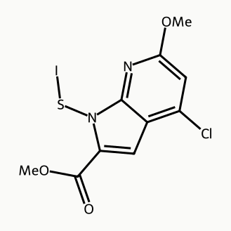 COC(=O)c1cc2c(Cl)cc(OC)nc2n1SI